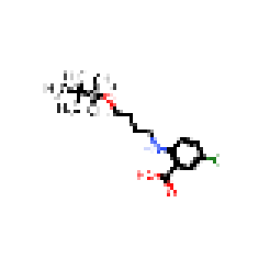 CC(C)(C)[Si](C)(C)OCCCCNc1ccc(Cl)cc1C(=O)O